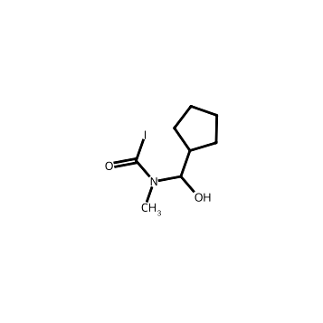 CN(C(=O)I)C(O)C1CCCC1